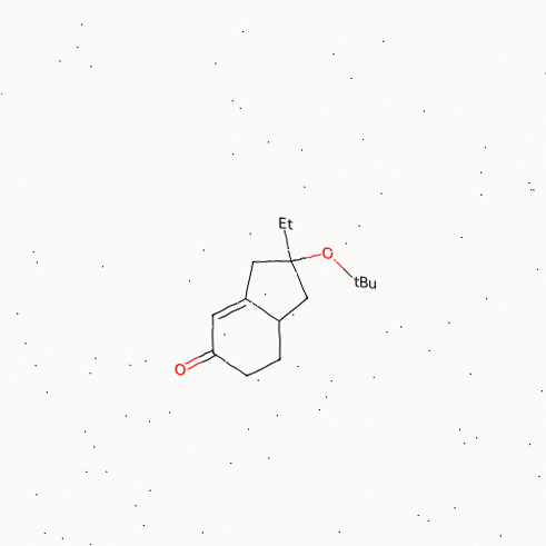 CCC1(OC(C)(C)C)CC2=CC(=O)CCC2C1